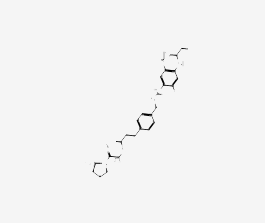 CCOC(=O)C(CCc1ccc(CNS(=O)(=O)c2cc3c(cc2Cl)NC(CCl)NS3)cc1)N[C@@H](C)C(=O)N1CCC[C@H]1C(=O)O